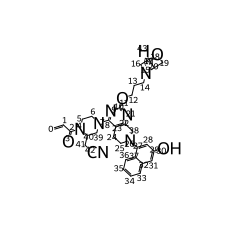 C=CC(=O)N1CCN(c2nc(OCCCN3C[C@H]4OCC43)nc3c2CCN(c2cc(O)cc4ccccc24)C3)CC1CC#N